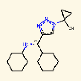 N#CC1(n2cc([C@@H](NC3CCCCC3)C3CCCCC3)nn2)CC1